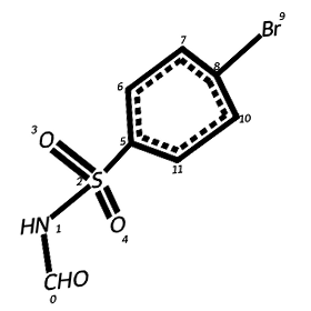 O=CNS(=O)(=O)c1ccc(Br)cc1